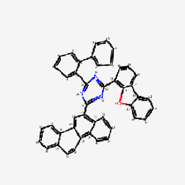 c1ccc(-c2ccccc2-c2nc(-c3cc4c5ccccc5ccc4c4ccccc34)nc(-c3cccc4c3oc3ccccc34)n2)cc1